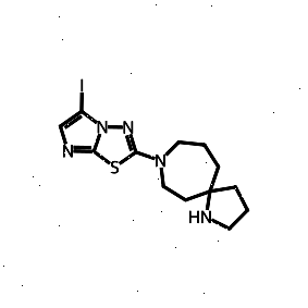 Ic1cnc2sc(N3CCCC4(CCCN4)CC3)nn12